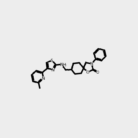 Cc1cccc(-c2csc(NCC3CCC4(CC3)CN(c3ccccc3)C(=O)O4)n2)n1